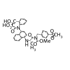 COC(=O)N(Cc1ccc(S(C)(=O)=O)cc1)C(=O)[C@H](C)Nc1ccc(N(C(=O)C(=O)O)c2ccccc2C(=O)O)c2ccccc12